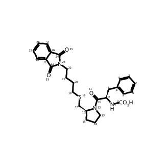 O=C(O)N[C@H](Cc1ccccc1)C(=O)N1CCC[C@H]1CSCCCCN1C(=O)c2ccccc2C1=O